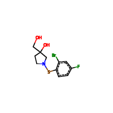 OCC1(O)CCN(Sc2ccc(F)cc2Br)C1